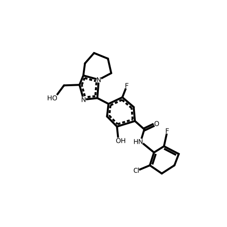 O=C(NC1=C(Cl)CCC=C1F)c1cc(F)c(-c2nc(CO)c3n2CCCC3)cc1O